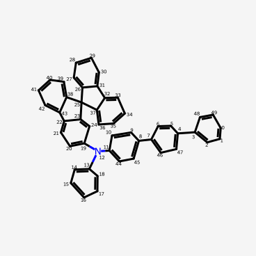 c1ccc(-c2ccc(-c3ccc(N(c4ccccc4)c4ccc5c(c4)C4(c6ccccc6-c6ccccc64)c4ccccc4-5)cc3)cc2)cc1